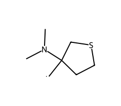 [CH2]C1(N(C)C)CCSC1